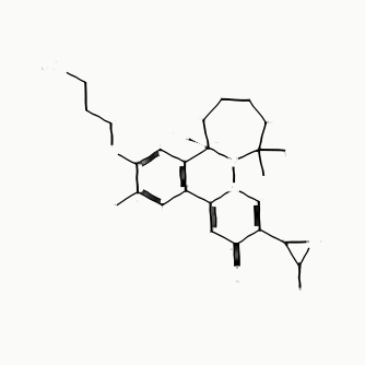 COCCCOc1cc2c(cc1Cl)-c1cc(=O)c(C3OC3O)cn1N1[C@H]2CCCCC1(C)C